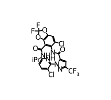 CC(C)NC(=O)c1c(NC(=O)c2cc(C(F)(F)F)nn2-c2ncccc2Cl)c(Cl)cc2c1OC(F)(F)O2